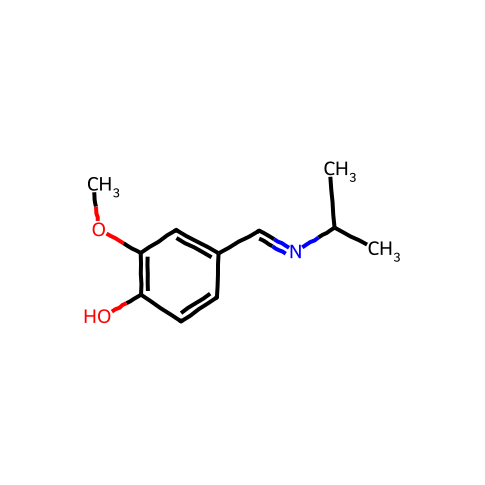 COc1cc(C=NC(C)C)ccc1O